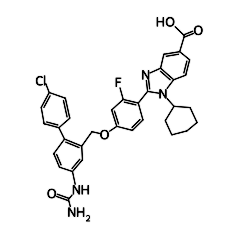 NC(=O)Nc1ccc(-c2ccc(Cl)cc2)c(COc2ccc(-c3nc4cc(C(=O)O)ccc4n3C3CCCCC3)c(F)c2)c1